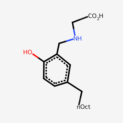 CCCCCCCCCc1ccc(O)c(CNCC(=O)O)c1